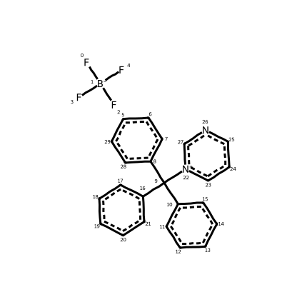 F[B-](F)(F)F.c1ccc(C(c2ccccc2)(c2ccccc2)[n+]2cccnc2)cc1